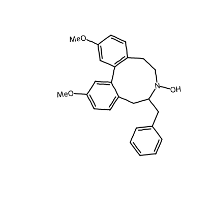 COc1ccc2c(c1)-c1cc(OC)ccc1CC(Cc1ccccc1)N(O)CC2